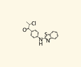 CC(Cl)C(=O)c1ccc(Nc2nc3ccccc3s2)cc1